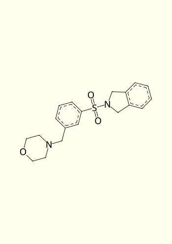 O=S(=O)(c1cccc(CN2CCOCC2)c1)N1Cc2ccccc2C1